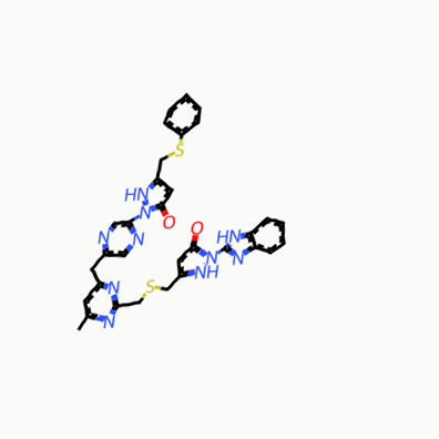 Cc1cc(Cc2cnc(-n3[nH]c(CSc4ccccc4)cc3=O)cn2)nc(CSCc2cc(=O)n(-c3nc4ccccc4[nH]3)[nH]2)n1